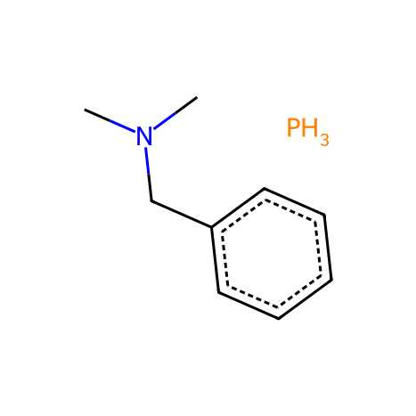 CN(C)Cc1ccccc1.P